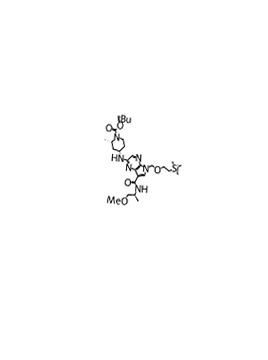 COC[C@H](C)NC(=O)c1cn(COCC[Si](C)(C)C)c2ncc(N[C@H]3CCN(C(=O)OC(C)(C)C)[C@@H](C)C3)nc12